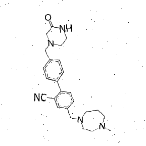 CN1CCCN(Cc2ccc(-c3ccc(CN4CCNC(=O)C4)cc3)c(C#N)c2)CC1